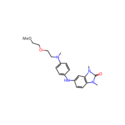 COCCOCCN(C)c1ccc(Nc2ccc3c(c2)n(C)c(=O)n3C)cc1